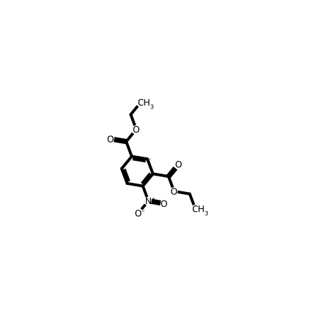 CCOC(=O)c1[c]c(C(=O)OCC)c([N+](=O)[O-])cc1